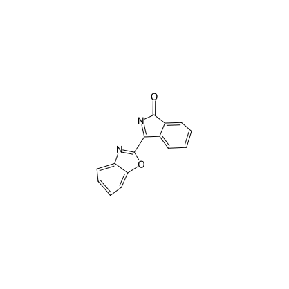 O=C1N=C(c2nc3ccccc3o2)c2ccccc21